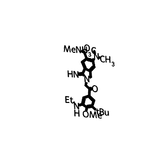 CCNc1cc(C(=O)CN2Cc3cc(N(C)C)c(C(=O)NC)cc3C2=N)cc(C(C)(C)C)c1OC